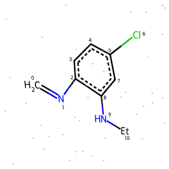 C=Nc1ccc(Cl)cc1NCC